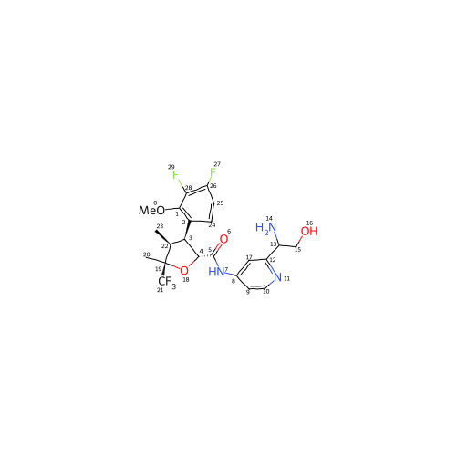 COc1c([C@H]2[C@H](C(=O)Nc3ccnc(C(N)CO)c3)O[C@@](C)(C(F)(F)F)[C@H]2C)ccc(F)c1F